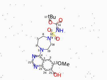 COc1cc2c(N3CCCN(S(=O)(=O)NC(=O)OC(C)(C)C)CC3)ncnc2cc1O